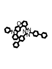 c1ccc(-c2ccc(-c3nc(-c4ccc(-c5ccccc5)cc4)nc(-c4cccc5oc6cc7c(cc6c45)c4ccccc4n7-c4ccccc4)n3)cc2)cc1